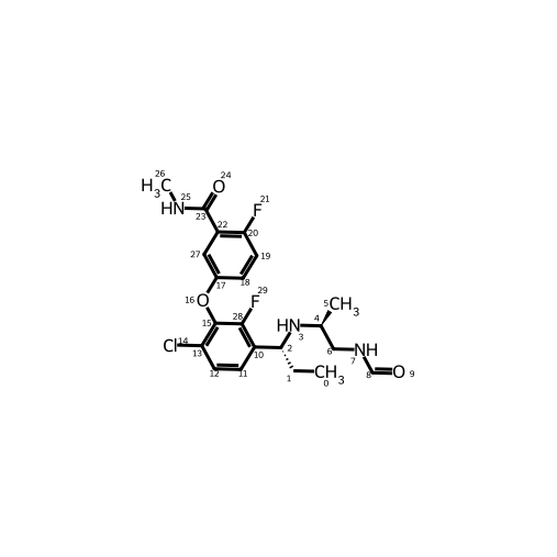 CC[C@@H](N[C@@H](C)CNC=O)c1ccc(Cl)c(Oc2ccc(F)c(C(=O)NC)c2)c1F